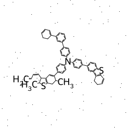 C=C/C=C\C1C2=C(CC(C)C(c3ccc(N(c4ccc(-c5cccc(C6=CC=CCC6)c5)cc4)c4ccc(-c5ccc6sc7c(c6c5)CCC=C7)cc4)cc3)=C2)SC1C